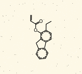 C=CC(=O)Oc1c(CC)ccc2c1Cc1ccccc1-2